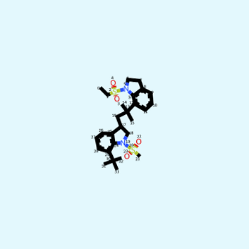 CCS(=O)(=O)N1CCc2cccc(C(C)(C)CC3CN(S(C)(=O)=O)c4c3cccc4C(C)(C)C)c21